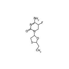 CCC1OC(N2CC(F)C(N)=NC2=O)CS1